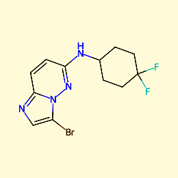 FC1(F)CCC(Nc2ccc3ncc(Br)n3n2)CC1